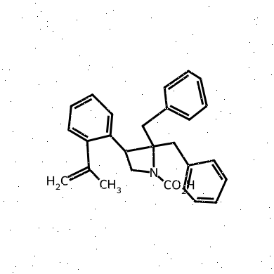 C=C(C)c1ccccc1C1CN(C(=O)O)C1(Cc1ccccc1)Cc1ccccc1